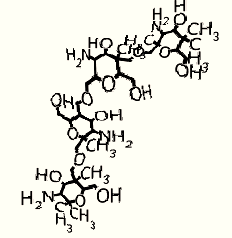 CC1(C)OC(CO)C(C)(COCC2(C)OC(CO)C(COCC3OC(CO)C(C)(COCC4(C)OC(CO)C(C)(C)C(O)C4N)C(O)C3N)C(O)C2N)C(O)C1N